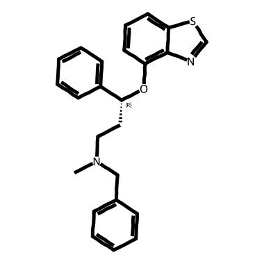 CN(CC[C@@H](Oc1cccc2scnc12)c1ccccc1)Cc1ccccc1